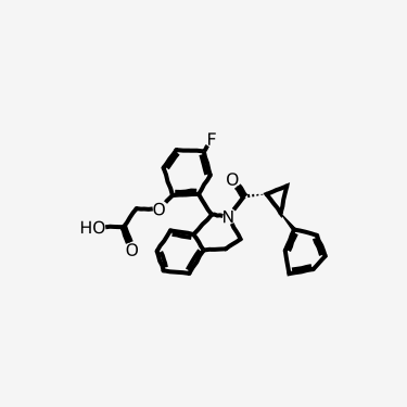 O=C(O)COc1ccc(F)cc1C1c2ccccc2CCN1C(=O)[C@@H]1C[C@H]1c1ccccc1